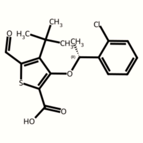 C[C@@H](Oc1c(C(=O)O)sc(C=O)c1C(C)(C)C)c1ccccc1Cl